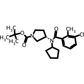 Cc1c(Cl)cccc1C(=O)N(C1CCCC1)[C@H]1CCN(C(=O)OC(C)(C)C)C1